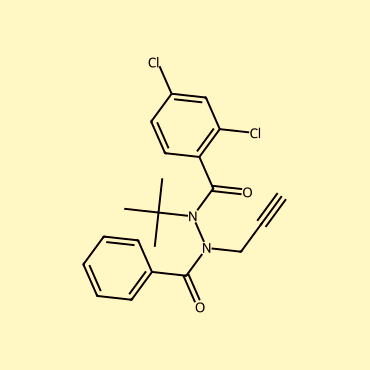 C#CCN(C(=O)c1ccccc1)N(C(=O)c1ccc(Cl)cc1Cl)C(C)(C)C